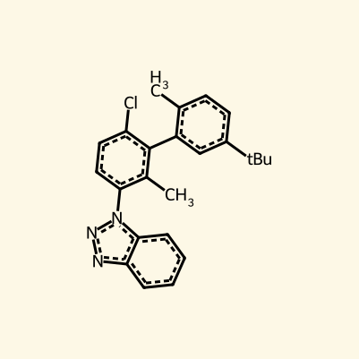 Cc1ccc(C(C)(C)C)cc1-c1c(Cl)ccc(-n2nnc3ccccc32)c1C